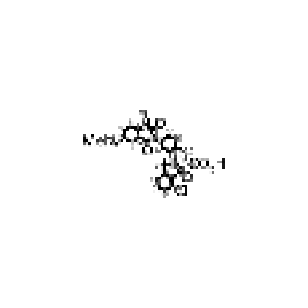 CNCc1ccc2c(c1)c(=O)n(-c1ccc(C[C@H](NC(=O)c3c(C)cccc3Cl)C(=O)O)cc1)c(=O)n2C